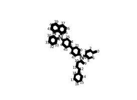 C=C/C=C\C(=C/C)N(C(=C)/C=C\C=C1\C=CC=CC1)C1=CCC(C2=CCC(N(c3ccccc3)c3cccc4ccccc34)C=C2)C=C1